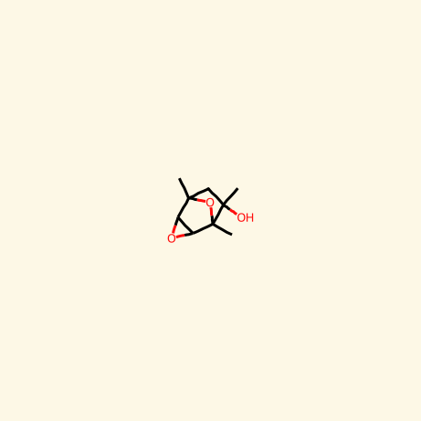 CC12CC(C)(O)C(C)(O1)C1OC12